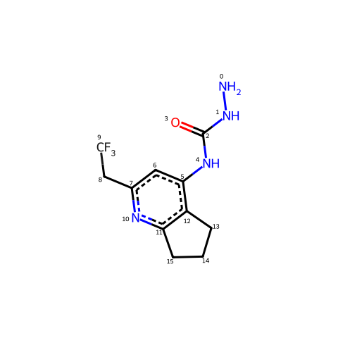 NNC(=O)Nc1cc(CC(F)(F)F)nc2c1CCC2